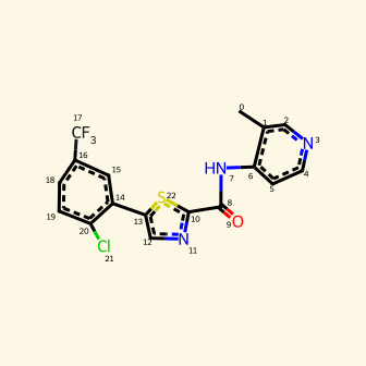 Cc1cnccc1NC(=O)c1ncc(-c2cc(C(F)(F)F)ccc2Cl)s1